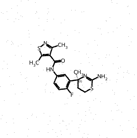 Cc1nsc(C)c1C(=O)Nc1ccc(F)c([C@]2(C)CCSC(N)=N2)c1